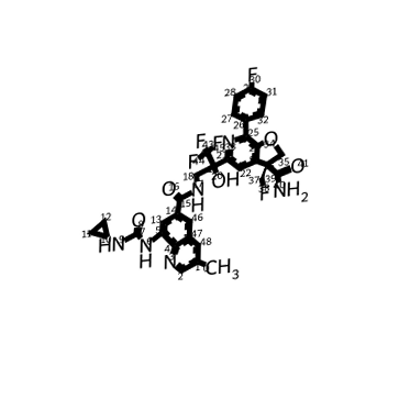 Cc1cnc2c(NC(=O)NC3CC3)cc(C(=O)NCC(O)(c3cc4c(c(-c5ccc(F)cc5)n3)OC[C@]4(CF)C(N)=O)C(F)(F)F)cc2c1